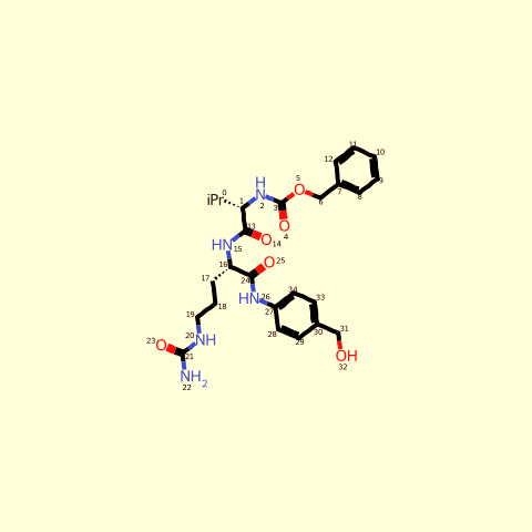 CC(C)[C@H](NC(=O)OCc1ccccc1)C(=O)N[C@@H](CCCNC(N)=O)C(=O)Nc1ccc(CO)cc1